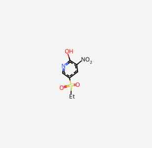 CCS(=O)(=O)c1cnc(O)c([N+](=O)[O-])c1